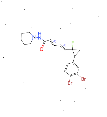 O=C(/C=C/C=C/C1(F)CC1c1ccc(Br)c(Br)c1)NN1CCCCC1